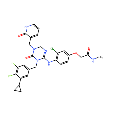 CNC(=O)COc1ccc(NC2=NCN(Cc3ccc[nH]c3=O)C(=O)N2Cc2cc(F)c(F)c(C3CC3)c2)c(Cl)c1